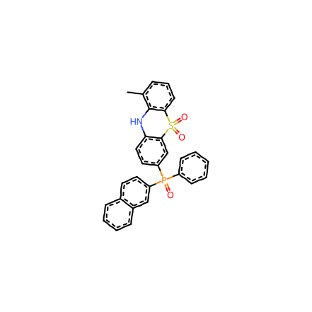 Cc1cccc2c1Nc1ccc(P(=O)(c3ccccc3)c3ccc4ccccc4c3)cc1S2(=O)=O